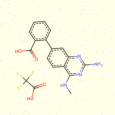 CNc1nc(N)nc2cc(-c3ccccc3C(=O)O)ccc12.O=C(O)C(F)(F)F